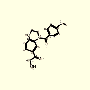 COc1ccc(C(=O)N2CCOc3ccc(C(=O)NO)cc32)cc1